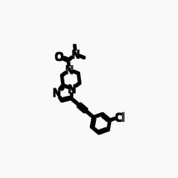 CN(C)C(=O)N1CCn2c(C#Cc3cccc(Cl)c3)cnc2C1